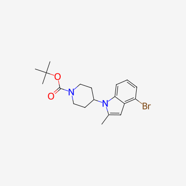 Cc1cc2c(Br)cccc2n1C1CCN(C(=O)OC(C)(C)C)CC1